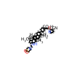 C=C(C)[C@@H]1CC[C@]2(NCCN3CCS(=O)(=O)CC3)CC[C@]3(C)[C@H](CCC4[C@@]5(C)CC=C(C6=CC[C@](C#COc7ncccc7C#N)(C(=O)O)CC6)C(C)(C)C5CC[C@]43C)C12